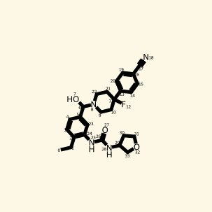 CCc1ccc(C(O)N2CCC(F)(c3ccc(C#N)cc3)CC2)cc1NC(=O)NC1CCOC1